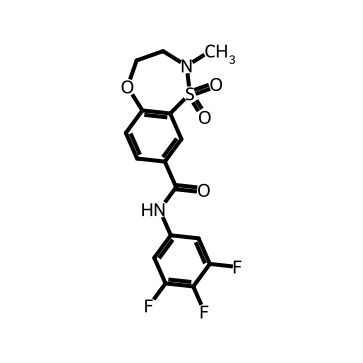 CN1CCOc2ccc(C(=O)Nc3cc(F)c(F)c(F)c3)cc2S1(=O)=O